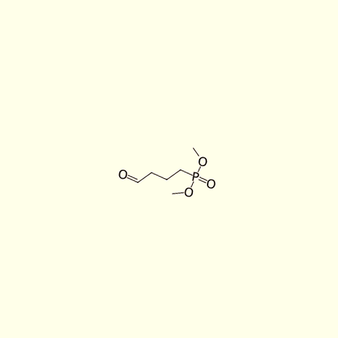 COP(=O)(CCCC=O)OC